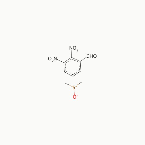 C[S+](C)[O-].O=Cc1cccc([N+](=O)[O-])c1[N+](=O)[O-]